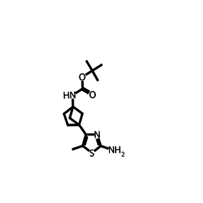 Cc1sc(N)nc1C12CCC(NC(=O)OC(C)(C)C)(C1)C2